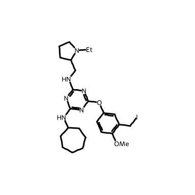 CCN1CCCC1CNc1nc(NC2CCCCCC2)nc(Oc2ccc(OC)c(CI)c2)n1